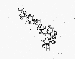 CC(C)(C)OC(=O)N1CCC(NCCOc2ccc3c(ccc4onc([C@H]5CCC(=O)NC5=O)c43)c2)CC1